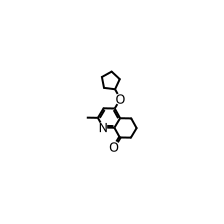 Cc1cc(OC2CCCC2)c2c(n1)C(=O)CCC2